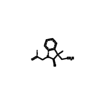 C=C(C)CN1C(=O)C(C)(CC(=O)O)c2ccccc21